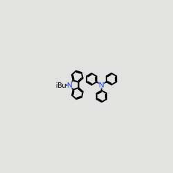 CCC(C)n1c2ccccc2c2ccccc21.c1ccc(N(c2ccccc2)c2ccccc2)cc1